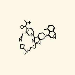 Cc1cccc2cncc(N3CCc4c(nc(OCCN(C)C5CCC5)nc4N4CCN(C(=O)C(C)F)[C@@H](CC#N)C4)C3)c12